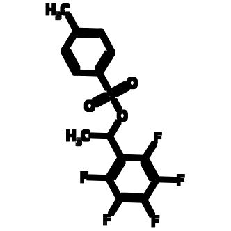 Cc1ccc(S(=O)(=O)OC(C)c2c(F)c(F)c(F)c(F)c2F)cc1